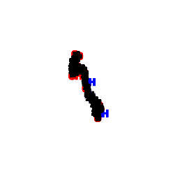 CS(=O)(=O)c1ccc(-c2ccc3cc(O)ccc3c2Oc2ccc(OCCCNCCOCCN3CCN(c4ccc5c(c4)CN(C4CCC(=O)NC4=O)C5=O)CC3)cc2)cc1